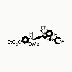 CCOC(=O)c1ccc(NCC#Cc2cc3c(N[C@@H]4CCN(C)C[C@@H]4F)cccc3n2CC(F)(F)F)c(OC)c1